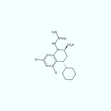 NC(=O)NN1c2cc(Cl)cc(Cl)c2[C@@H](C2CCCCC2)C[C@@H]1C(=O)O